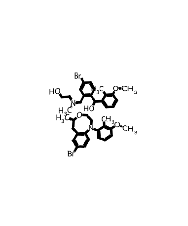 COc1cccc(C(O)c2ccc(Br)cc2CN(C)CCO)c1C.COc1cccc(N2CCOC(C)Cc3cc(Br)ccc32)c1C